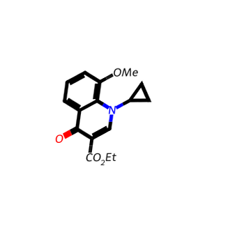 CCOC(=O)c1cn(C2CC2)c2c(OC)cccc2c1=O